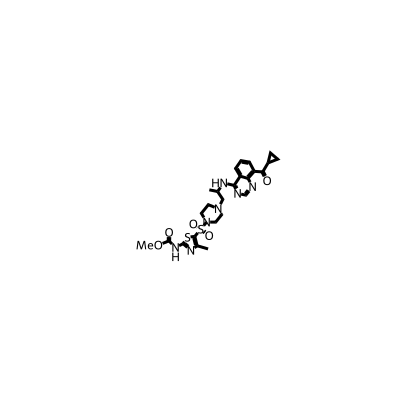 COC(=O)Nc1nc(C)c(S(=O)(=O)N2CCN(CC(C)Nc3ncnc4c(C(=O)C5CC5)cccc34)CC2)s1